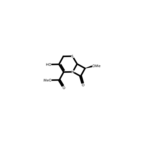 COC(=O)C1=C(O)CSC2[C@@H](OC)C(=O)N12